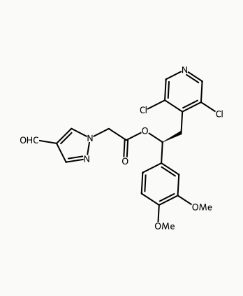 COc1ccc([C@H](Cc2c(Cl)cncc2Cl)OC(=O)Cn2cc(C=O)cn2)cc1OC